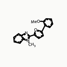 COc1ccccc1-c1ccc(-c2nc3ccccc3n2C)o1